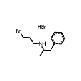 Br.CC(Cc1ccccc1)NCCCBr